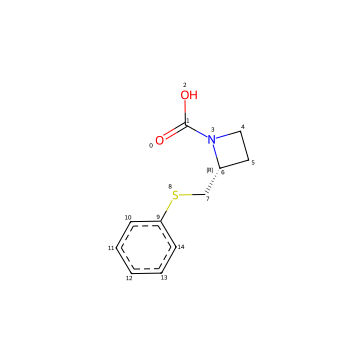 O=C(O)N1CC[C@@H]1CSc1ccccc1